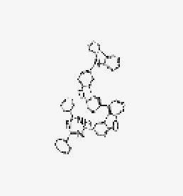 C1=CCCC(C2=NC(c3ccc4oc5cccc(-c6ccc7oc8ccc(-n9c%10ccccc%10c%10ccccc%109)cc8c7c6)c5c4c3)NC(C3C=CC=CC3)=N2)=C1